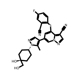 Cc1c(-c2cc(Sc3ccc(F)cc3C#N)c3c(C#N)cnn3c2)cnn1[C@H]1CC[C@@](O)(CO)CC1